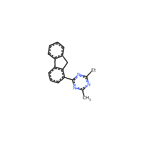 CCc1nc(C)nc(-c2cccc3c2Cc2ccccc2-3)n1